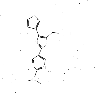 CN(C)c1ncc(-c2nc(-c3ccsc3)c(CC(=O)O)s2)cn1